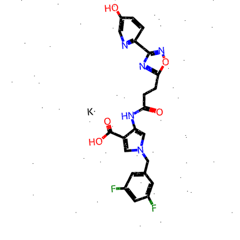 O=C(CCc1nc(-c2ccc(O)cn2)no1)Nc1cn(Cc2cc(F)cc(F)c2)cc1C(=O)O.[K]